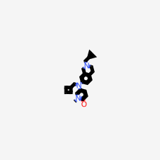 Cn1cc(N(CC2CCC2)c2ccc3c(c2)CN(CC2CC2)CC3)ccc1=O